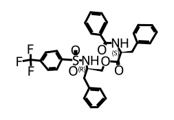 O=C(N[C@@H](Cc1ccccc1)C(=O)OC[C@@H](Cc1ccccc1)NS(=O)(=O)c1ccc(C(F)(F)F)cc1)c1ccccc1